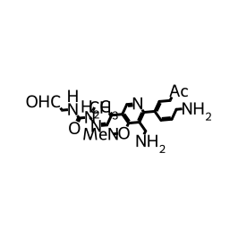 C=C(/C=N\N(C)C(=O)NCC=O)c1cnc(C(/C=C\CN)=C/CC(C)=O)c(CN)c1ONC